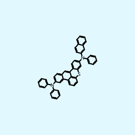 c1ccc(N(c2ccc3c(c2)Sc2cccc4c2c-3cc2ccc(N(c3ccccc3)c3ccccc3)cc24)c2ccc3ccccc3c2)cc1